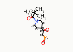 CC(C)(C)C(=O)N1CCC(C(=O)CP=O)CC1